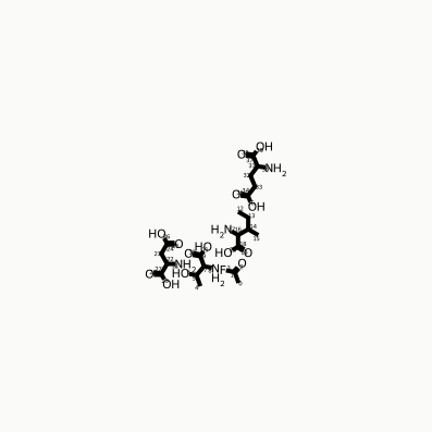 CC(=O)F.CC(O)C(N)C(=O)O.CCC(C)C(N)C(=O)O.NC(CC(=O)O)C(=O)O.NC(CCC(=O)O)C(=O)O